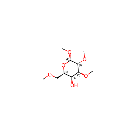 COC[C@H]1O[C@@H](OC)[C@H](OC)[C@@H](OC)[C@H]1O